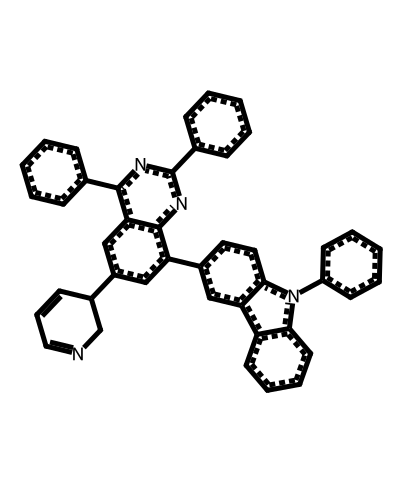 C1=CC(c2cc(-c3ccc4c(c3)c3ccccc3n4-c3ccccc3)c3nc(-c4ccccc4)nc(-c4ccccc4)c3c2)CN=C1